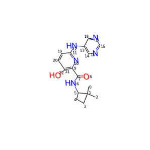 CC1(C)CCC1NC(=O)c1nc(Nc2cncnc2)ccc1O